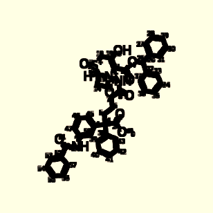 COC(=O)C(CCCC(=O)N[N+]12C(=O)C[C@@H]1[S+]([O-])CC(O)=C2C(=O)OC(c1ccccc1)c1ccccc1)(c1ccccc1)c1cccc(NC(=O)c2ccccc2)c1